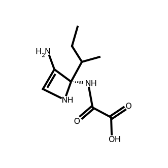 CCC(C)[C@@]1(NC(=O)C(=O)O)NC=C1N